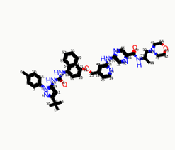 Cc1ccc(-n2nc(C(C)(C)C)cc2NC(=O)Nc2ccc(OCc3ccnc(Nc4cnc(C(=O)NC(C)CN5CCOCC5)cn4)c3)c3ccccc23)cc1